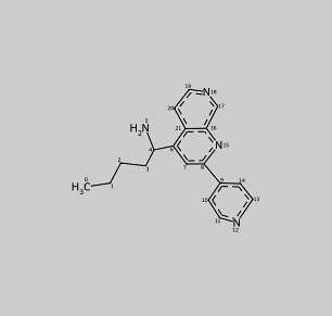 CCCCC(N)c1cc(-c2ccncc2)nc2cnccc12